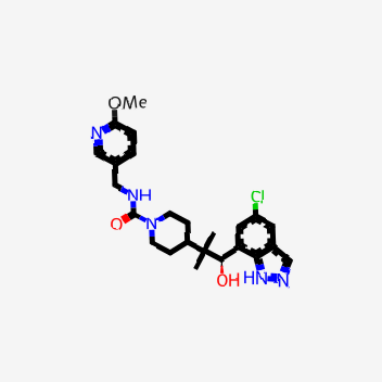 COc1ccc(CNC(=O)N2CCC(C(C)(C)[C@H](O)c3cc(Cl)cc4cn[nH]c34)CC2)cn1